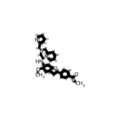 COC(=O)c1ccc(-c2cc3cc(OC)c(NCCN(Cc4ccccn4)Cc4ccccn4)cc3o2)cc1